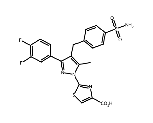 Cc1c(Cc2ccc(S(N)(=O)=O)cc2)c(-c2ccc(F)c(F)c2)nn1-c1nc(C(=O)O)cs1